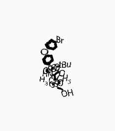 CC(C)(C)OC(=O)C(NS(=O)(=O)c1ccc(Oc2ccc(Br)cc2)cc1)C(C)(C)S(=O)(=O)CCO